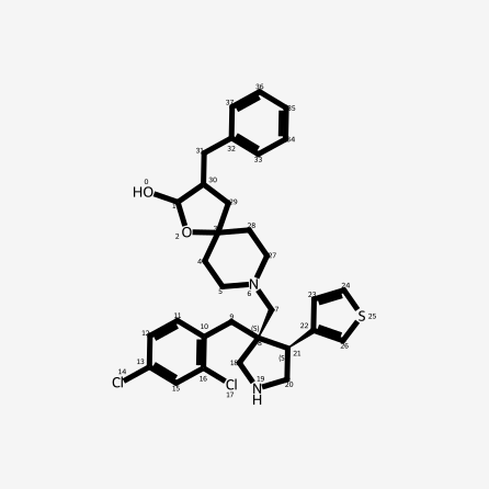 OC1OC2(CCN(C[C@]3(Cc4ccc(Cl)cc4Cl)CNC[C@@H]3c3ccsc3)CC2)CC1Cc1ccccc1